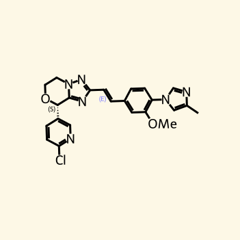 COc1cc(/C=C/c2nc3n(n2)CCO[C@H]3c2ccc(Cl)nc2)ccc1-n1cnc(C)c1